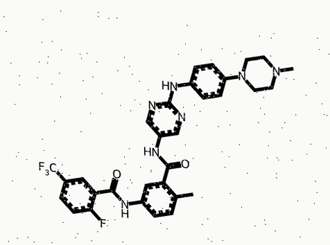 Cc1ccc(NC(=O)c2cc(C(F)(F)F)ccc2F)cc1C(=O)Nc1cnc(Nc2ccc(N3CCN(C)CC3)cc2)nc1